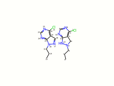 CCCN1Cc2c(Cl)ncnc2N1.CCCn1ncc2c(Cl)ncnc21